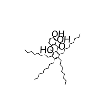 CCCCCCCCc1c(O)c(C(=O)c2cccc(O)c2O)c(CCCCCCCC)c(CCCCCCCC)c1CCCCCCCC